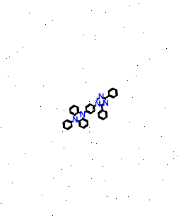 c1ccc(C2=NCN(c3ccc(N4c5ccccc5N(c5ccccc5)c5ccccc54)cc3)C(c3ccccc3)=N2)cc1